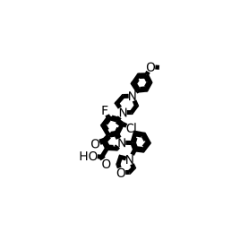 COc1ccc(N2CCN(c3c(F)cc4c(=O)c(C(=O)O)cn(-c5ccccc5N5CCOCC5)c4c3Cl)CC2)cc1